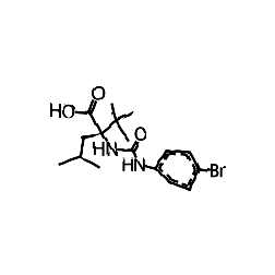 CC(C)C[C@@](NC(=O)Nc1ccc(Br)cc1)(C(=O)O)C(C)(C)C